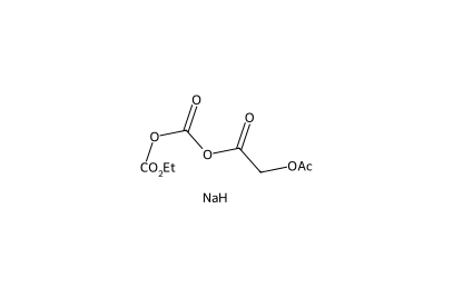 CCOC(=O)OC(=O)OC(=O)COC(C)=O.[NaH]